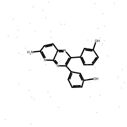 Nc1ccc2nc(-c3cccc(O)c3)c(-c3cccc(O)c3)nc2n1